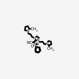 CC1CCCN1CCCN1CCN(CCCN2CCCC2C)C1=C(C#N)S(=O)(=O)c1ccccc1